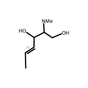 C/C=C/C(O)C(CO)NC